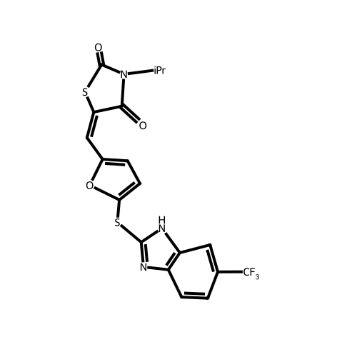 CC(C)N1C(=O)SC(=Cc2ccc(Sc3nc4ccc(C(F)(F)F)cc4[nH]3)o2)C1=O